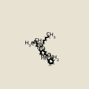 CCCCCCNC(=O)N(CCN(C)C)Cc1ccc(C(=O)Nc2ccccc2N)nc1